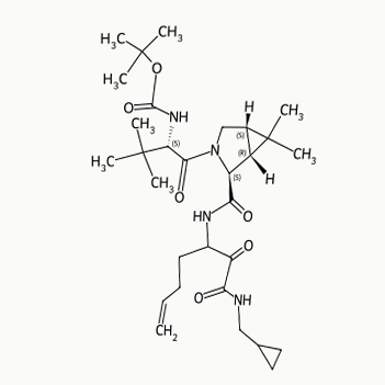 C=CCCC(NC(=O)[C@@H]1[C@@H]2[C@H](CN1C(=O)[C@@H](NC(=O)OC(C)(C)C)C(C)(C)C)C2(C)C)C(=O)C(=O)NCC1CC1